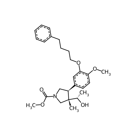 COC(=O)N1C[C@@H](c2ccc(OC)c(OCCCCc3ccccc3)c2)[C@](C)([C@H](C)O)C1